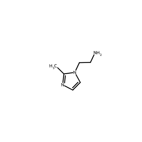 Cc1nccn1CCN